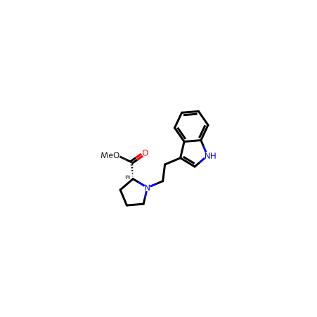 COC(=O)[C@H]1CCCN1CCc1c[nH]c2ccccc12